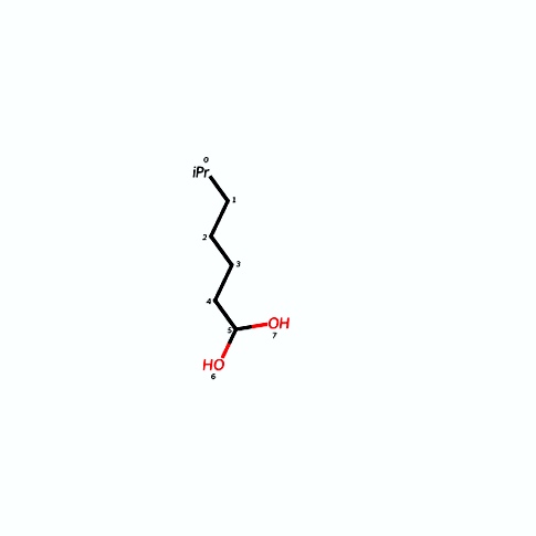 CC(C)CCCCC(O)O